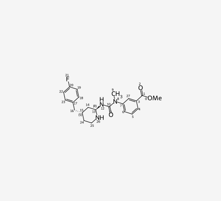 COC(=O)c1cccc(N(C)C(=O)N[C@@H]2C[C@@H](Cc3ccc(F)cc3)CCN2)c1